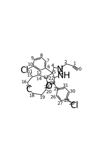 C#CCN1CC(c2cccc(Cl)c2)(C2CCCCCCCC2)C(C(=O)c2ccc(Cl)cc2)N1